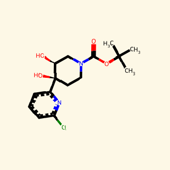 CC(C)(C)OC(=O)N1CC[C@](O)(c2cccc(Cl)n2)[C@@H](O)C1